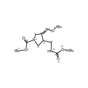 CC(C)(C)ON=C1CN(C(=O)OC(C)(C)C)CC1CNC(=O)OC(C)(C)C